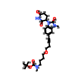 CN(CCCCOCCC#Cc1ccc2c(c1)n(C)c(=O)n2C1CCC(=O)NC1=O)C(=O)OC(C)(C)C